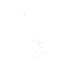 C=CCCCCCCCCOc1ccc(C[PH](c2ccccc2)(c2ccccc2)c2ccccc2)cc1